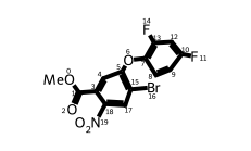 COC(=O)c1cc(Oc2ccc(F)cc2F)c(Br)cc1[N+](=O)[O-]